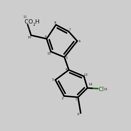 Cc1ccc(-c2cccc(CC(=O)O)c2)cc1Cl